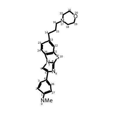 CNc1ccc(-c2cn3c(n2)sc2cc(CCCN4CCOCC4)ccc23)cc1